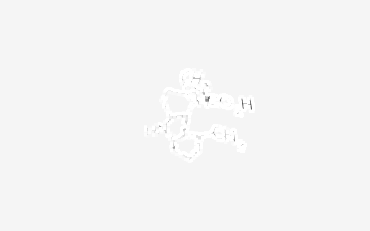 Cc1cccc2[nH]c3c(c12)CC(C)(NC(=O)O)CC3